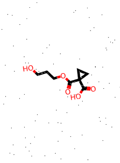 O=C(O)C1(C(=O)OCCCO)CC1